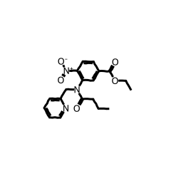 CCCC(=O)N(Cc1ccccn1)c1cc(C(=O)OCC)ccc1[N+](=O)[O-]